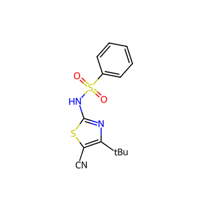 CC(C)(C)c1nc(NS(=O)(=O)c2ccccc2)sc1C#N